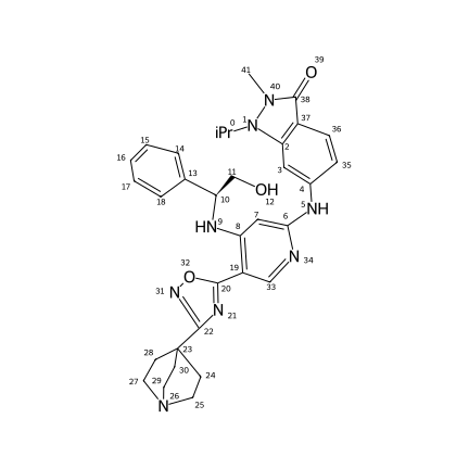 CC(C)n1c2cc(Nc3cc(N[C@H](CO)c4ccccc4)c(-c4nc(C56CCN(CC5)CC6)no4)cn3)ccc2c(=O)n1C